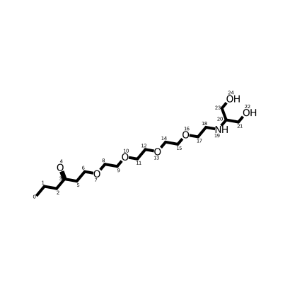 CCCC(=O)CCOCCOCCOCCOCCNC(CO)CO